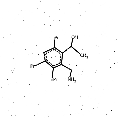 [CH2]CCc1c(C(C)C)cc(C(C)C)c(C(C)O)c1CN